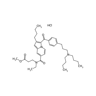 CCCCc1cc2cc(C(=O)N(CC)CCC(=O)OC)ccn2c1C(=O)c1ccc(CCCN(CCCC)CCCC)cc1.Cl